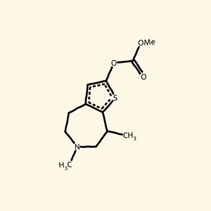 COC(=O)Oc1cc2c(s1)C(C)CN(C)CC2